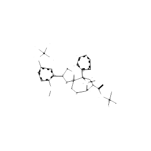 COc1ccc(OC(F)(F)F)cc1C1COC2(CCC3C(C(=O)OC(C)(C)C)CC2(c2ccccc2)N3C)C1